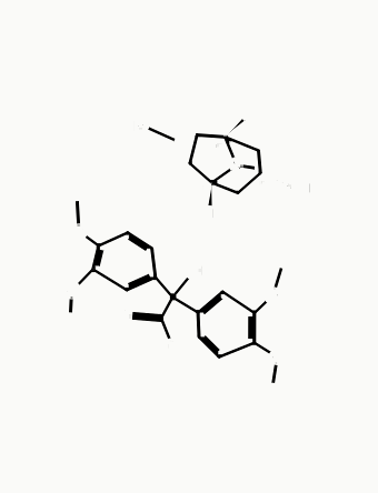 CBr.CN1[C@@H]2CC[C@H]1C[C@@H](O)C2.COc1ccc(C(O)(C(=O)O)c2ccc(OC)c(OC)c2)cc1OC